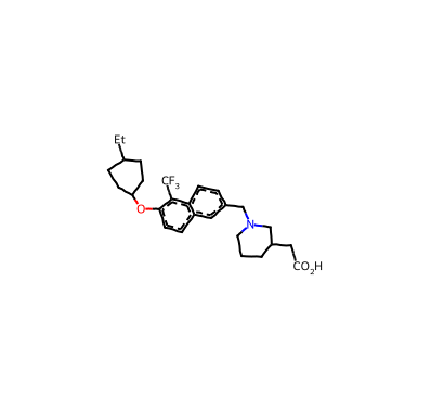 CCC1CCC(Oc2ccc3cc(CN4CCCC(CC(=O)O)C4)ccc3c2C(F)(F)F)CC1